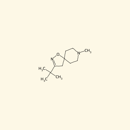 CN1CCC2(CC1)CC(C(C)(C)C)=NO2